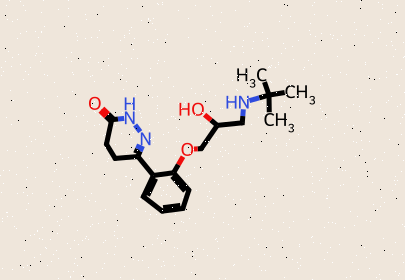 CC(C)(C)NCC(O)COc1ccccc1C1=NNC(=O)CC1